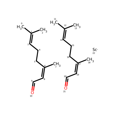 CC(C)=CCC/C(C)=C\C=O.CC(C)=CCC/C(C)=C\C=O.[Sc]